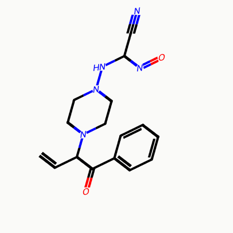 C=CC(C(=O)c1ccccc1)N1CCN(NC(C#N)N=O)CC1